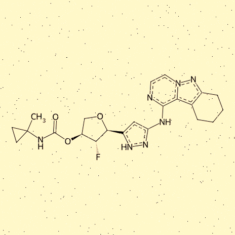 CC1(NC(=O)O[C@H]2CO[C@@H](c3cc(Nc4nccn5nc6c(c45)CCCC6)n[nH]3)[C@@H]2F)CC1